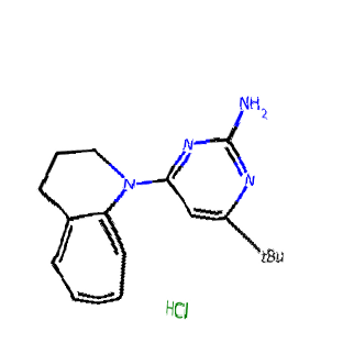 CC(C)(C)c1cc(N2CCCc3ccccc32)nc(N)n1.Cl